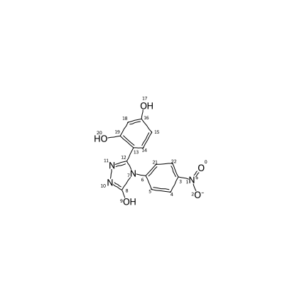 O=[N+]([O-])c1ccc(-n2c(O)nnc2-c2ccc(O)cc2O)cc1